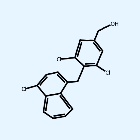 OCc1cc(Cl)c(Cc2ccc(Cl)c3ccccc23)c(Cl)c1